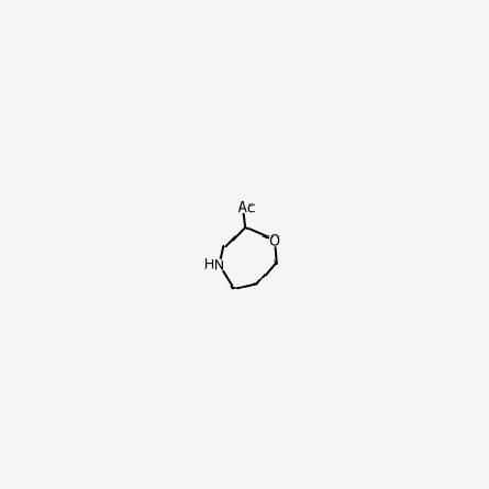 [CH2]C(=O)C1CNCCCO1